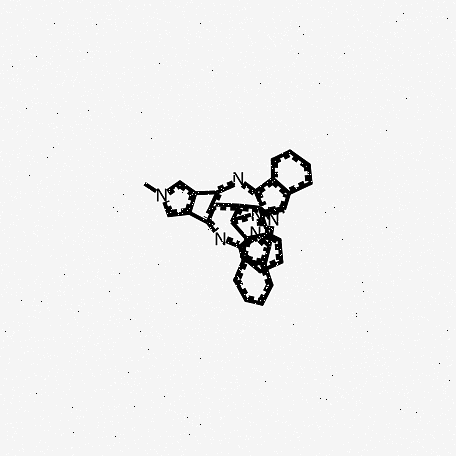 Cn1cc2c(c1)-c1nc3c4ccccc4c4nc5c6c(nc7c8ccccc8c(nc-2c16)n7n43)-c1ccccc1-5